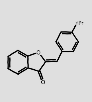 CCCc1ccc(/C=C2\Oc3ccccc3C2=O)cc1